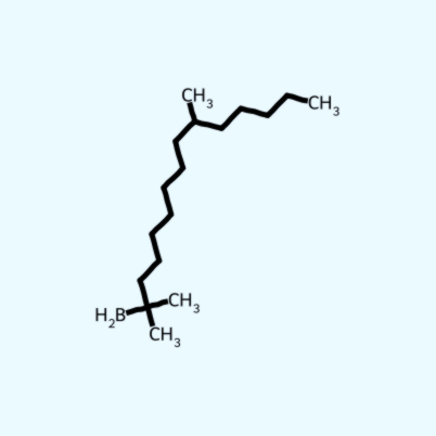 BC(C)(C)CCCCCCCC(C)CCCCC